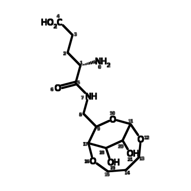 N[C@@H](CCC(=O)O)C(=O)NCC1OC2OCCCOC1C(O)C2O